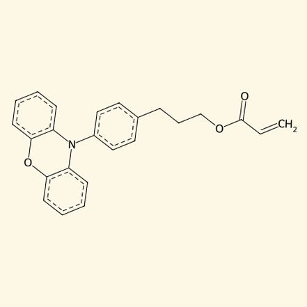 C=CC(=O)OCCCc1ccc(N2c3ccccc3Oc3ccccc32)cc1